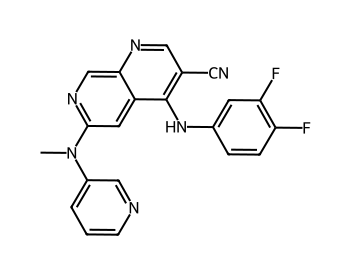 CN(c1cccnc1)c1cc2c(Nc3ccc(F)c(F)c3)c(C#N)cnc2cn1